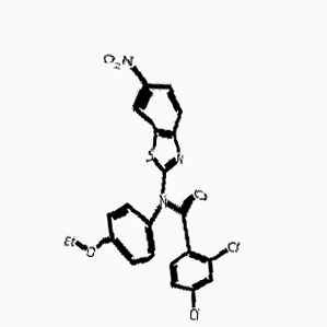 CCOc1ccc(N(C(=O)c2ccc(Cl)cc2Cl)c2nc3ccc([N+](=O)[O-])cc3s2)cc1